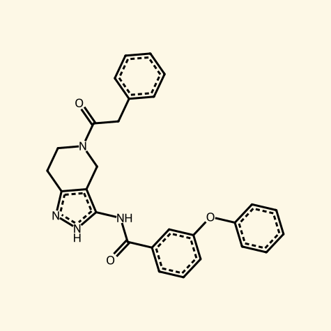 O=C(Nc1[nH]nc2c1CN(C(=O)Cc1ccccc1)CC2)c1cccc(Oc2ccccc2)c1